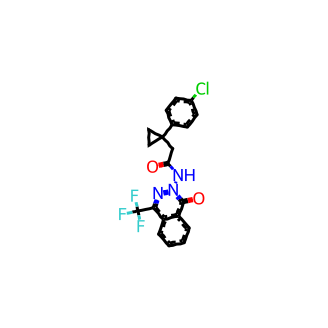 O=C(CC1(c2ccc(Cl)cc2)CC1)Nn1nc(C(F)(F)F)c2ccccc2c1=O